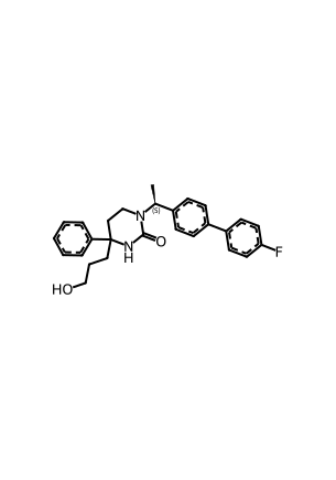 C[C@@H](c1ccc(-c2ccc(F)cc2)cc1)N1CCC(CCCO)(c2ccccc2)NC1=O